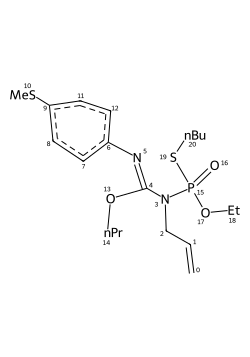 C=CCN(C(=Nc1ccc(SC)cc1)OCCC)P(=O)(OCC)SCCCC